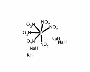 O=[N+]([O-])[Ir]([N+](=O)[O-])([N+](=O)[O-])([N+](=O)[O-])([N+](=O)[O-])[N+](=O)[O-].[KH].[NaH].[NaH].[NaH]